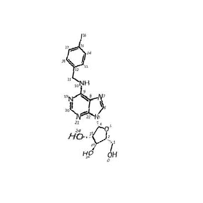 OC[C@H]1O[C@@H](n2cnc3c(NCc4ccc(I)cc4)ncnc32)[C@@H](O)[C@@H]1O